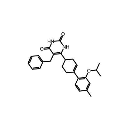 Cc1ccc(C2=CCC(c3[nH]c(=O)[nH]c(=O)c3Cc3ccccc3)CC2)c(OC(C)C)c1